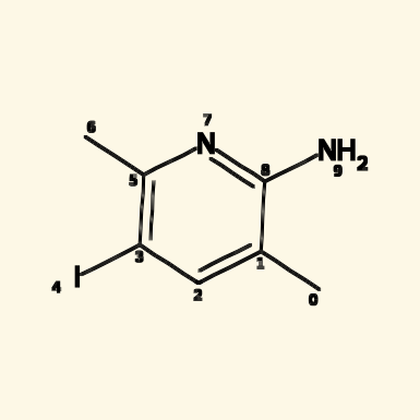 Cc1cc(I)c(C)nc1N